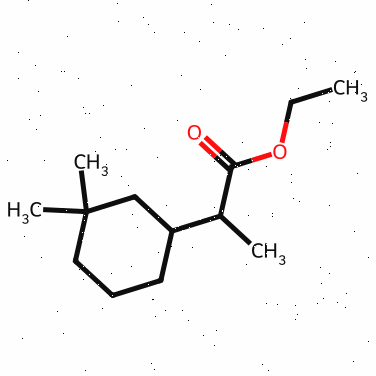 CCOC(=O)C(C)C1CCCC(C)(C)C1